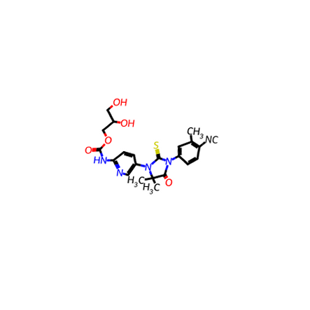 [C-]#[N+]c1ccc(N2C(=O)C(C)(C)N(c3ccc(NC(=O)OCC(O)CO)nc3)C2=S)cc1C